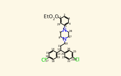 CCOC(=O)c1cccc(N2CCN(CCC(c3ccc(Cl)cc3)c3ccc(Cl)cc3)CC2)c1